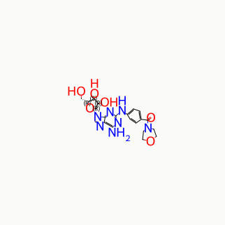 Nc1nc(Nc2ccc(C(=O)N3CCOCC3)cc2)nc2c1ncn2[C@@H]1O[C@H](CO)[C@@H](O)[C@H]1O